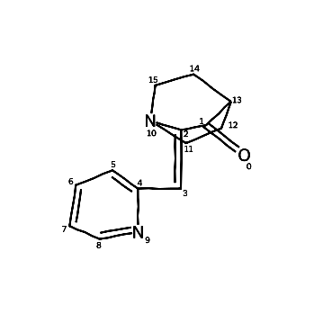 O=C1C(=Cc2ccccn2)N2CCC1CC2